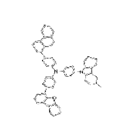 CC1C=Cc2c(c3ccccc3n2-c2ccc(N(c3ccc(-c4cccc5c4ccc4ccccc45)cc3)c3ccc(-c4cccc5c4oc4ccccc45)cc3)cc2)C1